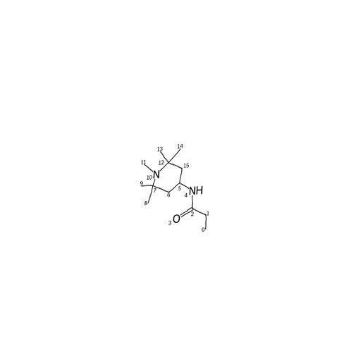 CCC(=O)NC1CC(C)(C)N(C)C(C)(C)C1